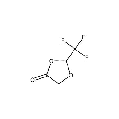 O=C1COC(C(F)(F)F)O1